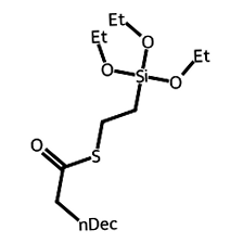 CCCCCCCCCCCC(=O)SCC[Si](OCC)(OCC)OCC